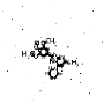 COc1cc(-c2nc3nc(C)cc(N4CCCCC4)n3n2)cc(OC)c1OC